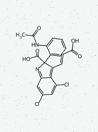 CC(=O)Nc1ccccc1C1(C(=O)O)N=c2cc(Cl)cc(Cl)c2=C1C=CC(=O)O